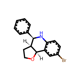 Brc1ccc2c(c1)[C@H]1OCC[C@H]1[C@@H](c1ccccc1)N2